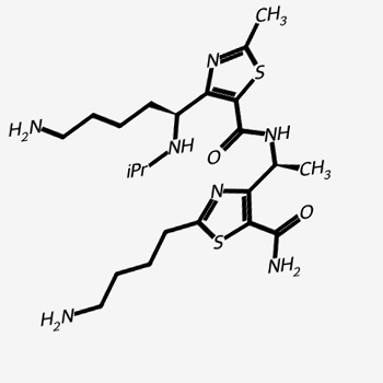 Cc1nc([C@H](CCCCN)NC(C)C)c(C(=O)N[C@@H](C)c2nc(CCCCN)sc2C(N)=O)s1